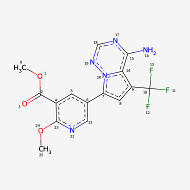 COC(=O)c1cc(-c2cc(C(F)(F)F)c3c(N)ncnn23)cnc1OC